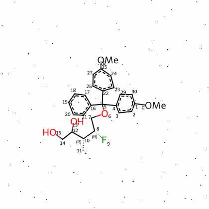 COc1ccc(C(OC[C@H](F)[C@H](C)C(O)CO)(c2ccccc2)c2ccc(OC)cc2)cc1